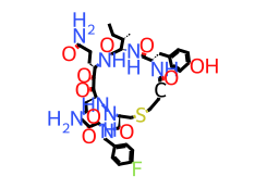 CC[C@H](C)[C@@H]1NC(=O)[C@H](Cc2ccc(O)cc2)NC(=O)CCCSC[C@@H](C(=O)N(CC(C)=O)Cc2ccc(F)cc2)NN[C@@H](CC(N)=O)C(=O)C(=O)[C@H](CCC(N)=O)NC1=O